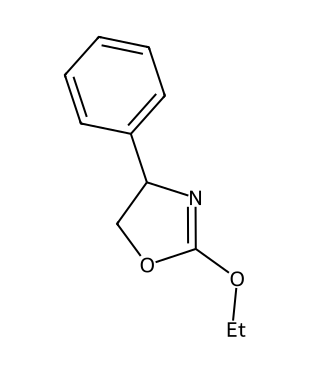 CCOC1=NC(c2ccccc2)CO1